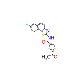 CC(=O)N1CC[C@H](C(=O)Nc2nc3ccc4cc(F)ccc4c3s2)C1